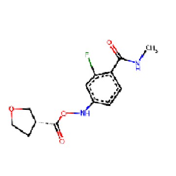 CNC(=O)c1ccc(NOC(=O)[C@@H]2CCOC2)cc1F